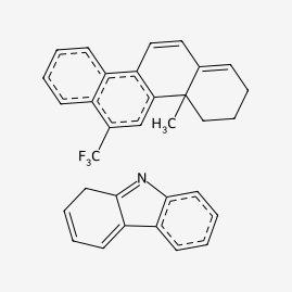 C1=CCC2=Nc3ccccc3C2=C1.CC12CCCC=C1C=Cc1c2cc(C(F)(F)F)c2ccccc12